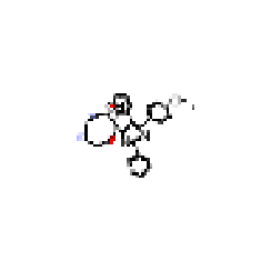 Cc1ccc(-c2nc(-c3ccccc3)nc3c2-c2ccccc2C32c3ccccc3C/C=C\C=C/C2C)cc1